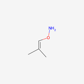 CC(C)=CON